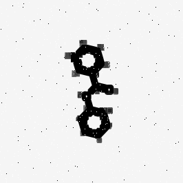 O=C(Oc1ccccn1)c1cccnc1